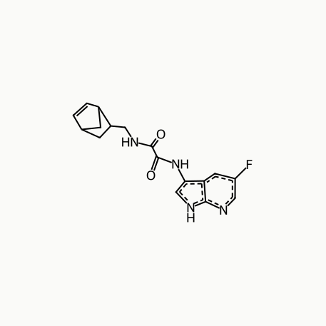 O=C(NCC1CC2C=CC1C2)C(=O)Nc1c[nH]c2ncc(F)cc12